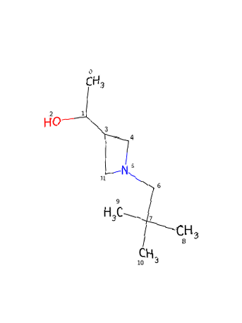 CC(O)C1CN(CC(C)(C)C)C1